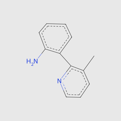 Cc1cccnc1-c1ccccc1N